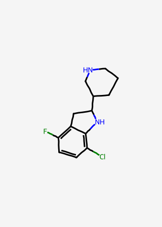 Fc1ccc(Cl)c2c1CC(C1CCCNC1)N2